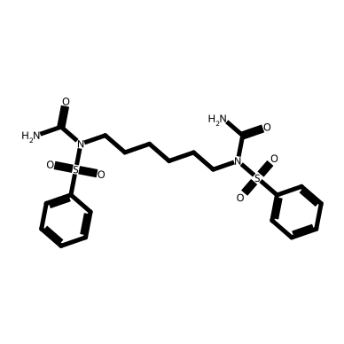 NC(=O)N(CCCCCCN(C(N)=O)S(=O)(=O)c1ccccc1)S(=O)(=O)c1ccccc1